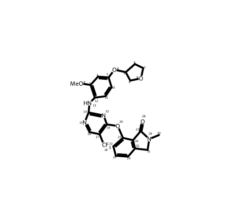 COc1cc(OC2CCOC2)ccc1Nc1ncc(C(F)(F)F)c(Oc2cccc3c2C(=O)N(C)C3)n1